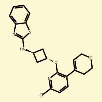 Clc1ccc(C2=CCOCC2)c(O[C@H]2C[C@H](Nc3nc4ccccc4s3)C2)n1